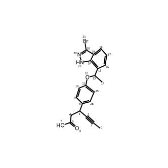 CC#CC(CC(=O)O)c1ccc(OC(C)c2cccc3c(Br)n[nH]c23)cc1